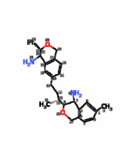 Cc1ccc2c(c1)C(N)C([C@H](C)CCc1ccc3c(c1)C(N)[C@@H](C(C)C)OC3)OC2